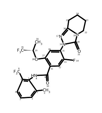 Cc1cccc(C(F)(F)F)c1NC(=O)c1cc(F)c(-n2nc3n(c2=O)CCCC3)cc1O[C@@H](C)C(F)(F)F